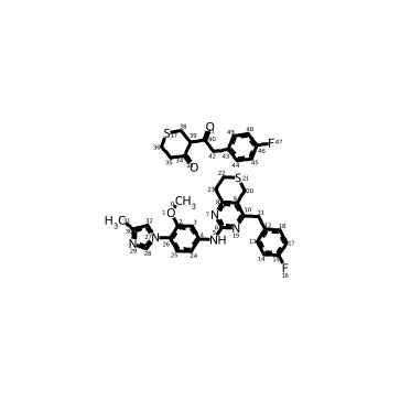 COc1cc(Nc2nc3c(c(Cc4ccc(F)cc4)n2)CSCC3)ccc1-n1cnc(C)c1.O=C1CCSCC1C(=O)Cc1ccc(F)cc1